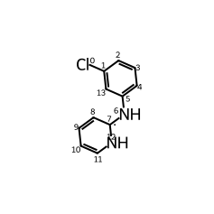 Clc1cccc(N[C]2C=CC=CN2)c1